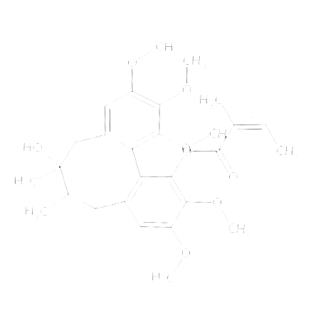 C/C=C(/C)C(=O)Oc1c(OC)c(OC)cc2c1-c1c(cc(OC)c(OC)c1OC)CC(C)(O)C(C)C2